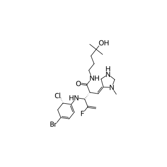 C=C(F)C(NC1=CC=C(Br)C[C@@H]1Cl)[C@@H](/C=C1\CNCN1C)C(=O)NCCCC(C)(C)O